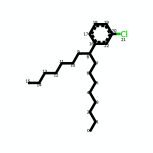 CCCCCCCCC(CCCCCCC)c1cccc(Cl)c1